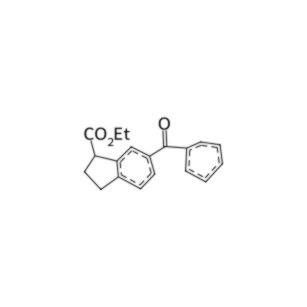 CCOC(=O)C1CCc2ccc(C(=O)c3ccccc3)cc21